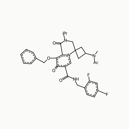 CC(=O)N(C)C1CC2(C1)CN(C(C)C)C(=O)c1c(OCc3ccccc3)c(=O)c(C(=O)NCc3ccc(F)cc3F)cn12